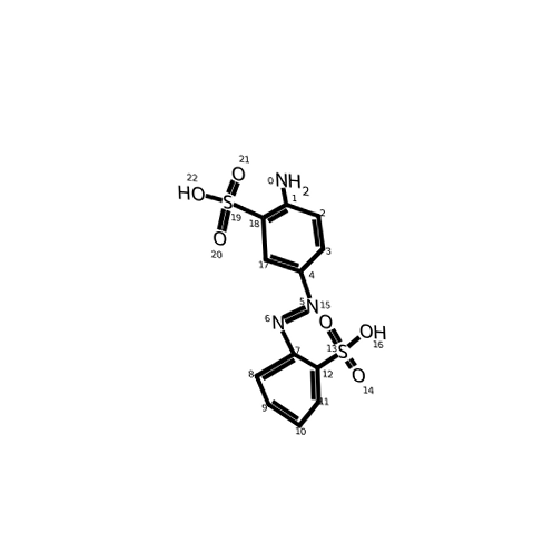 Nc1ccc(N=Nc2ccccc2S(=O)(=O)O)cc1S(=O)(=O)O